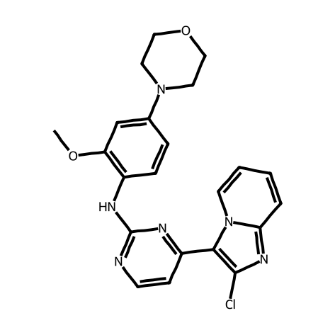 COc1cc(N2CCOCC2)ccc1Nc1nccc(-c2c(Cl)nc3ccccn23)n1